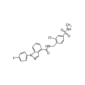 CNS(=O)(=O)c1ccc(CNC(=O)c2cccc3c2cnn3-c2ccc(F)cc2)c(Cl)c1